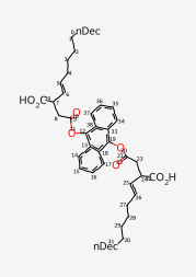 CCCCCCCCCCCCCCC=CC(CC(=O)Oc1c2ccccc2c(OC(=O)CC(C=CCCCCCCCCCCCCCC)C(=O)O)c2ccccc12)C(=O)O